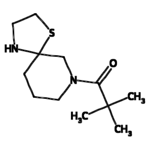 CC(C)(C)C(=O)N1CCCC2(C1)NCCS2